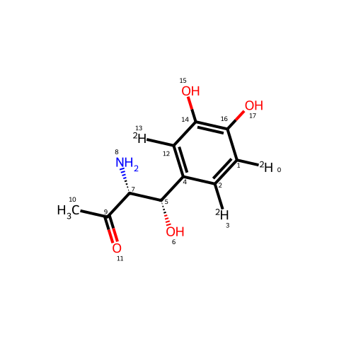 [2H]c1c([2H])c([C@H](O)[C@@H](N)C(C)=O)c([2H])c(O)c1O